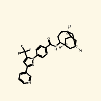 O=C(NC1CC[C@H]2C[C@H]3CC2C[C@H]1C3)c1ccc(-n2nc(-c3cccnc3)cc2C(F)(F)F)cc1